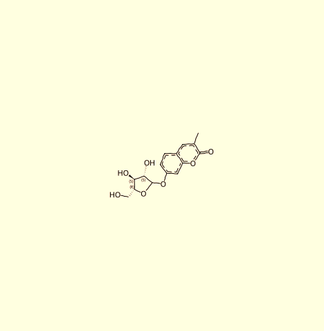 Cc1cc2ccc(OC3O[C@H](CO)[C@@H](O)[C@@H]3O)cc2oc1=O